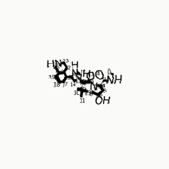 CNC(=O)[C@@H]1C[C@@H](O)CN1C(=O)[C@@H](N1CC(c2cccc3c2CCNC3)NN1)C(C)(C)C